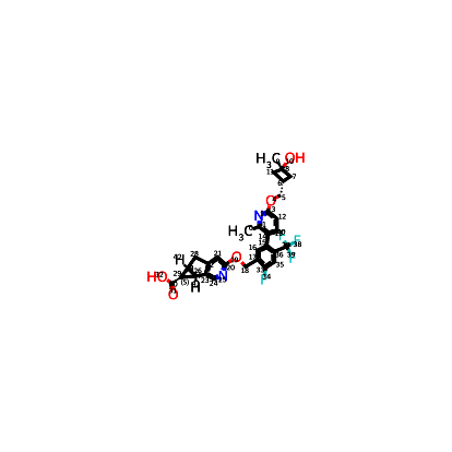 Cc1nc(OC[C@H]2C[C@@](C)(O)C2)ccc1-c1cc(COc2cc3c(cn2)[C@H]2[C@@H](C3)[C@@H]2C(=O)O)c(F)cc1C(F)(F)F